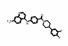 O=C(c1ccc(Nc2ccnc3cc(C(F)(F)F)ccc23)cc1)N1CCC(c2ccc(F)c(F)c2)CC1